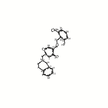 O=c1cc(CN2CCc3ccccc3C2)occ1OCc1c(F)cccc1Cl